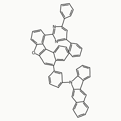 c1ccc(-c2cc(-c3ccccc3)nc(-c3cccc4oc5cc(-c6cccc(-n7c8ccccc8c8cc9ccccc9cc87)c6)c6ccccc6c5c34)n2)cc1